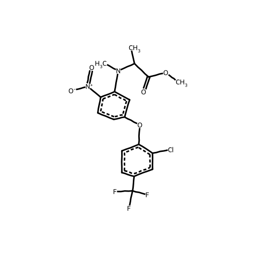 COC(=O)C(C)N(C)c1cc(Oc2ccc(C(F)(F)F)cc2Cl)ccc1[N+](=O)[O-]